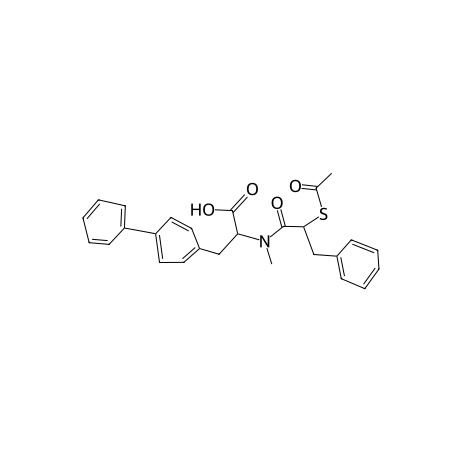 CC(=O)SC(Cc1ccccc1)C(=O)N(C)C(Cc1ccc(-c2ccccc2)cc1)C(=O)O